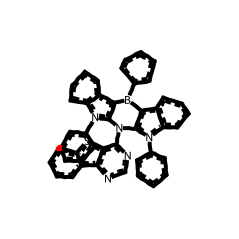 c1ccc(B2c3c(n(-c4ccccc4)c4ccccc34)N(c3ncnc4c3sc3ccccc34)c3c2c2ccccc2n3-c2ccccc2)cc1